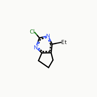 CCc1nc(Cl)nc2c1CCC2